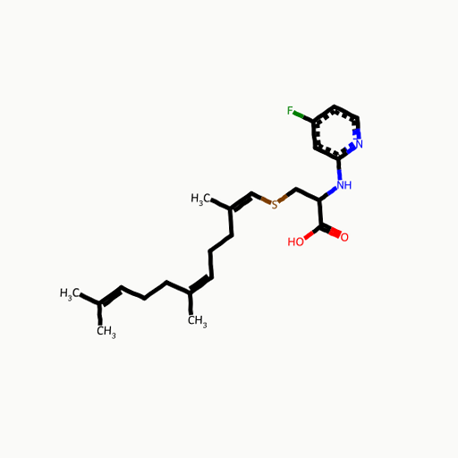 CC(C)=CCCC(C)=CCCC(C)=CSCC(Nc1cc(F)ccn1)C(=O)O